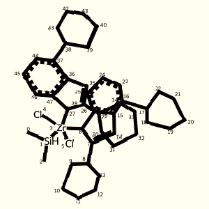 C[SiH](C)[Zr]([Cl])([Cl])([CH]1C(C2CCCCC2)=Cc2c(C3CCCCC3)cccc21)[CH]1C(C2CCCCC2)=Cc2c(C3CCCCC3)cccc21